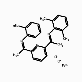 CCCCc1ccccc1N=C(C)c1cccc(C(C)=Nc2c(C)cccc2C)n1.[Cl-].[Cl-].[Fe+2]